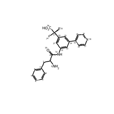 NC(Cc1ccccc1)C(=O)Nc1cc(-c2ccncc2)cc(C(F)(F)C(=O)O)c1